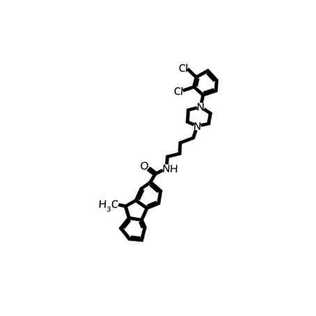 CC1c2ccccc2-c2ccc(C(=O)NCCCCN3CCN(c4cccc(Cl)c4Cl)CC3)cc21